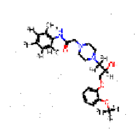 [2H]c1c([2H])c(C)c(NC(=O)CN2CCN(C([2H])([2H])C([2H])(O)COc3ccccc3OC([2H])([2H])[2H])CC2)c(C)c1[2H]